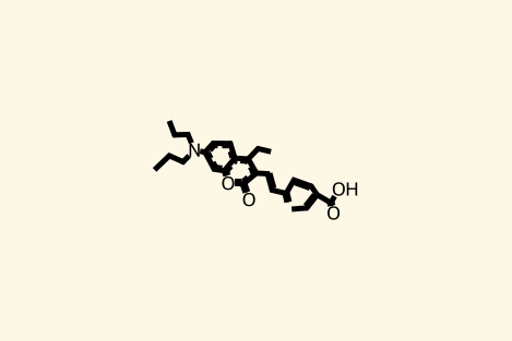 C=C(/C=C\C(=C/C)C(=O)O)/C=C/c1c(CC)c2ccc(N(CCC)CCC)cc2oc1=O